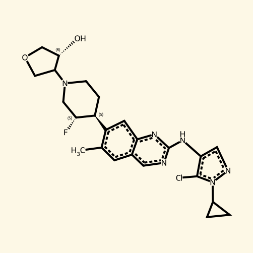 Cc1cc2cnc(Nc3cnn(C4CC4)c3Cl)nc2cc1[C@@H]1CCN(C2COC[C@@H]2O)C[C@H]1F